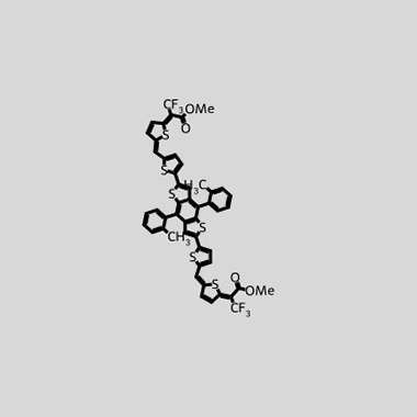 COC(=O)/C(=c1/cc/c(=C/c2ccc(-c3cc4c(-c5ccccc5C)c5sc(-c6ccc(/C=c7/cc/c(=C(/C(=O)OC)C(F)(F)F)s7)s6)cc5c(-c5ccccc5C)c4s3)s2)s1)C(F)(F)F